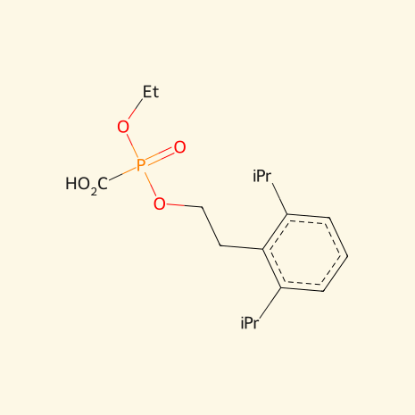 CCOP(=O)(OCCc1c(C(C)C)cccc1C(C)C)C(=O)O